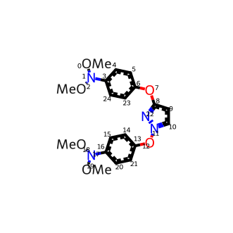 CON(OC)c1ccc(Oc2ccn(Oc3ccc(N(OC)OC)cc3)n2)cc1